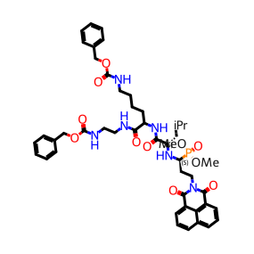 COP(=O)(OC)[C@@H](CCN1C(=O)c2cccc3cccc(c23)C1=O)N[C@@H](CC(C)C)C(=O)NC(CCCCNC(=O)OCc1ccccc1)C(=O)NCCNC(=O)OCc1ccccc1